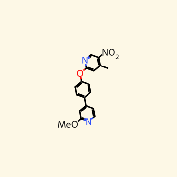 COc1cc(-c2ccc(Oc3cc(C)c([N+](=O)[O-])cn3)cc2)ccn1